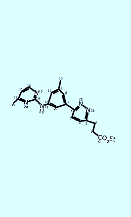 CCOC(=O)CCc1ccc(-c2cc(C)cc(Nc3nccc(C)n3)c2)nn1